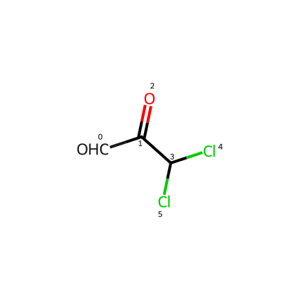 O=CC(=O)C(Cl)Cl